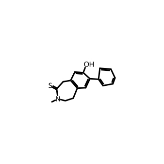 CN1CCc2cc(-c3ccccc3)c(O)cc2CC1=S